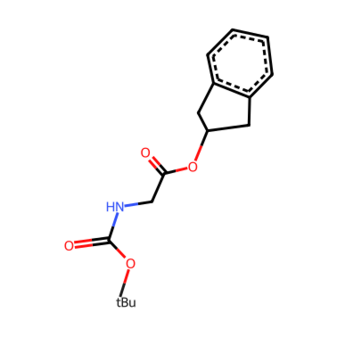 CC(C)(C)OC(=O)NCC(=O)OC1Cc2ccccc2C1